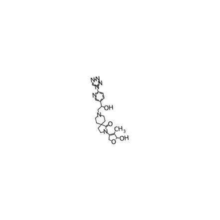 CC1=C(N2CCC3(CCN(C[C@H](O)c4ccc(-n5cnnn5)nc4)CC3)C2=O)COC1O